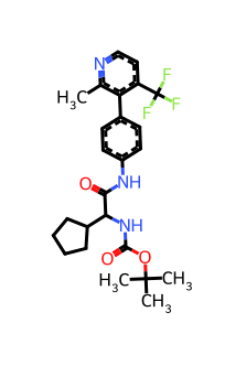 Cc1nccc(C(F)(F)F)c1-c1ccc(NC(=O)C(NC(=O)OC(C)(C)C)C2CCCC2)cc1